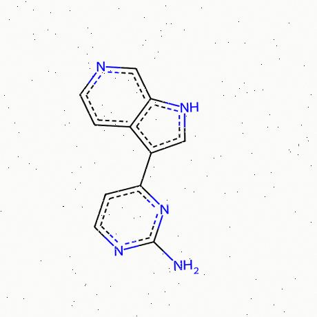 Nc1nccc(-c2c[nH]c3cnccc23)n1